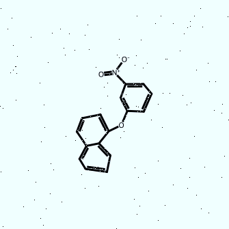 O=[N+]([O-])c1cccc(Oc2cccc3ccccc23)c1